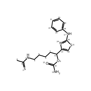 CC(=S)NCCCCC(OC(N)=O)c1csc(Nc2ccccc2)n1